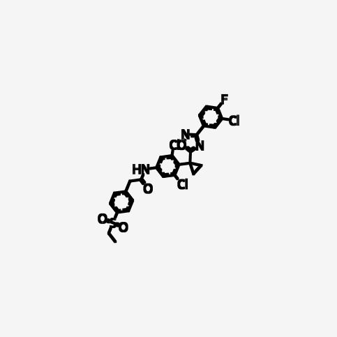 CCS(=O)(=O)c1ccc(CC(=O)Nc2cc(Cl)c(C3(c4nc(-c5ccc(F)c(Cl)c5)no4)CC3)c(Cl)c2)cc1